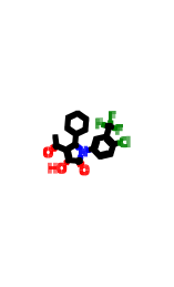 CC(=O)C1=C(O)C(=O)N(c2ccc(Cl)c(C(F)(F)F)c2)C1C1CCCCC1